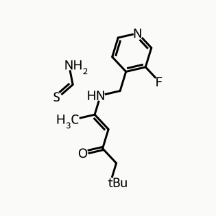 CC(=CC(=O)CC(C)(C)C)NCc1ccncc1F.NC=S